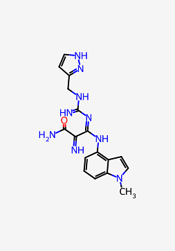 Cn1ccc2c(N/C(=N/C(=N)NCc3cc[nH]n3)C(=N)C(N)=O)cccc21